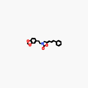 O=C1OC(=CC=Cc2ccccc2)CN1CCc1ccc2c(c1)OCO2